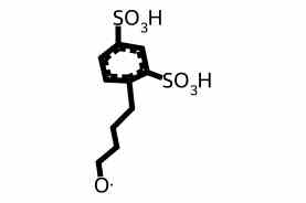 [O]CCCCc1ccc(S(=O)(=O)O)cc1S(=O)(=O)O